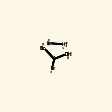 OC(Br)Br.[Br][Hf]